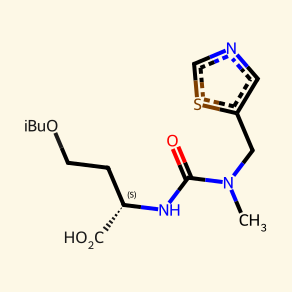 CC(C)COCC[C@H](NC(=O)N(C)Cc1cncs1)C(=O)O